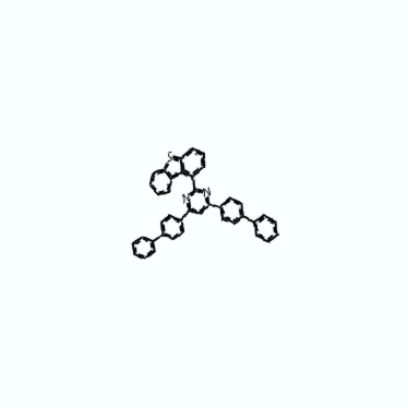 c1ccc(-c2ccc(-c3cc(-c4ccc(-c5ccccc5)cc4)nc(-c4cccc5sc6ccccc6c45)n3)cc2)cc1